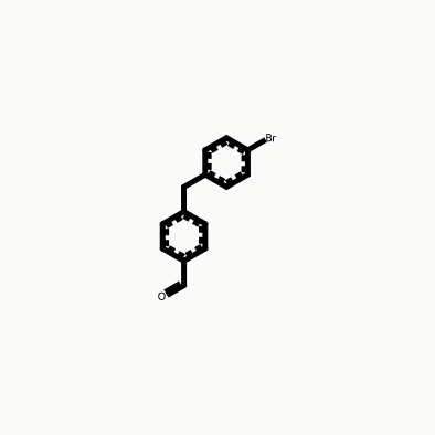 O=Cc1ccc(Cc2ccc(Br)cc2)cc1